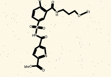 CCOCCCNC(=O)c1cc(S(=O)(=O)NC(=O)c2ccc(C(=O)OC)nc2)ccc1Cl